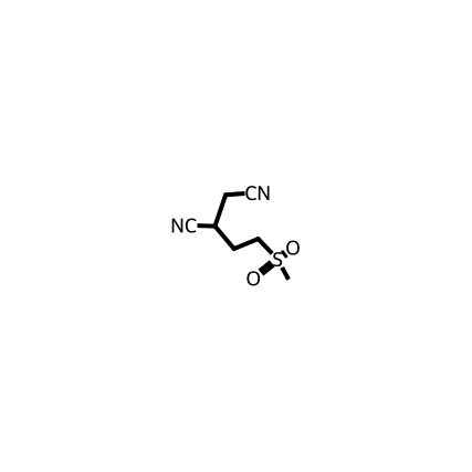 CS(=O)(=O)CCC(C#N)CC#N